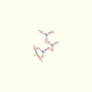 O=[N+]([O-])[O-].O=[N+]([O-])[O-].O=[N+]([O-])[O-].[O]=[U]=[O]